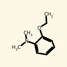 [CH2]COc1ccccc1N(C)C